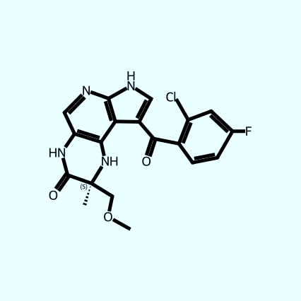 COC[C@]1(C)Nc2c(cnc3[nH]cc(C(=O)c4ccc(F)cc4Cl)c23)NC1=O